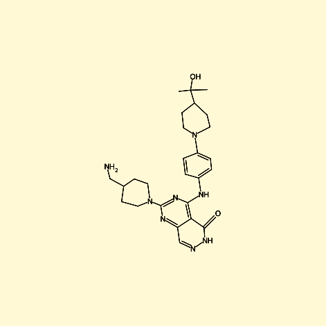 CC(C)(O)C1CCN(c2ccc(Nc3nc(N4CCC(CN)CC4)nc4cn[nH]c(=O)c34)cc2)CC1